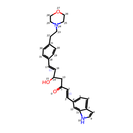 O=C(/C=C/c1ccc2cc[nH]c2c1)CC(O)/C=C/c1ccc(CCN2CCOCC2)cc1